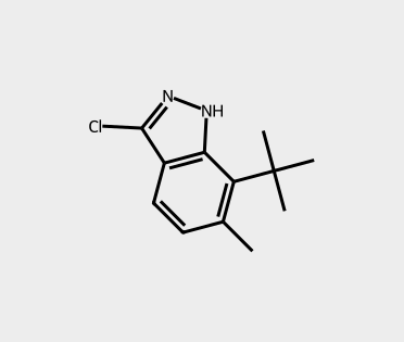 Cc1ccc2c(Cl)n[nH]c2c1C(C)(C)C